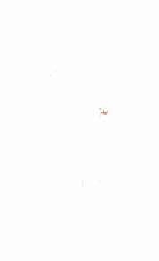 CCCCCCCCCCCCCCCC/C=C/O[PH](=O)O/C=C/CCCCCCCCCCCCCCCC